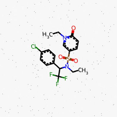 CCN(C(c1ccc(Cl)cc1)C(F)(F)F)S(=O)(=O)c1ccc(=O)n(CC)c1